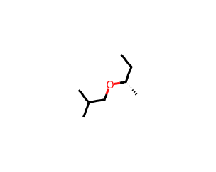 CC[C@H](C)OCC(C)C